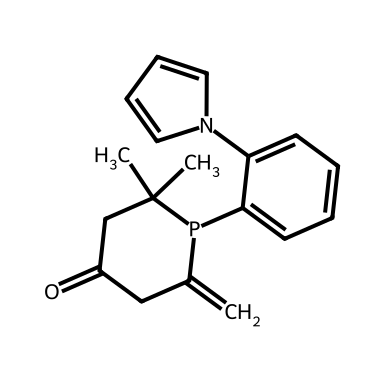 C=C1CC(=O)CC(C)(C)P1c1ccccc1-n1cccc1